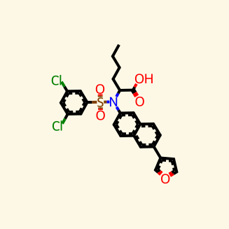 CCCCC(C(=O)O)N(c1ccc2cc(-c3ccoc3)ccc2c1)S(=O)(=O)c1cc(Cl)cc(Cl)c1